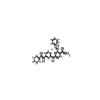 C[C@@H](Nc1nc(Nc2cccc(NC(=O)N3CCCCC3)c2)ncc1C(N)=O)c1ccccc1